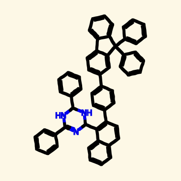 c1ccc(C2=NC(c3c(-c4ccc(-c5ccc6c(c5)C(c5ccccc5)(c5ccccc5)c5ccccc5-6)cc4)ccc4ccccc34)NC(c3ccccc3)N2)cc1